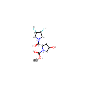 CC(C)(C)OC(=O)N1CC(=O)C[C@H]1C(=O)N1C[C@@H](F)[C@@H](F)C1